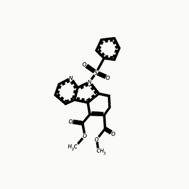 COC(=O)C1=C(C(=O)OC)c2c(n(S(=O)(=O)c3ccccc3)c3ncccc23)CC1